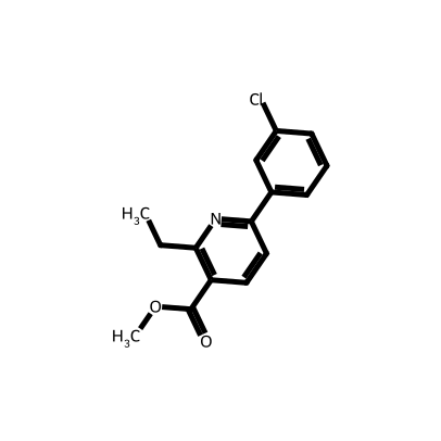 CCc1nc(-c2cccc(Cl)c2)ccc1C(=O)OC